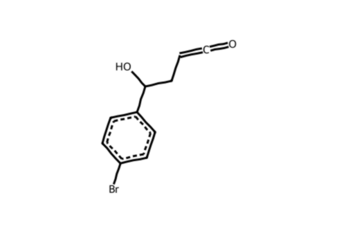 O=C=CCC(O)c1ccc(Br)cc1